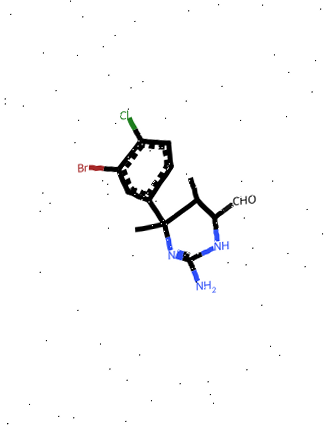 CC1C(C=O)NC(N)=NC1(C)c1ccc(Cl)c(Br)c1